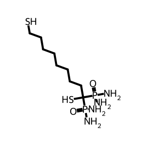 NP(N)(=O)C(S)(CCCCCCCCS)P(N)(N)=O